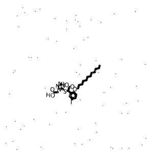 CCCCCCCCCCCCOc1ccc(I)cc1C(Sc1nnnn1CC(=O)O)C(=O)O